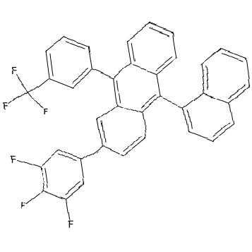 Fc1cc(-c2ccc3c(-c4cccc5ccccc45)c4ccccc4c(-c4cccc(C(F)(F)F)c4)c3c2)cc(F)c1F